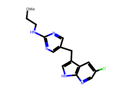 COCCNc1ncc(Cc2c[nH]c3ncc(Cl)cc23)cn1